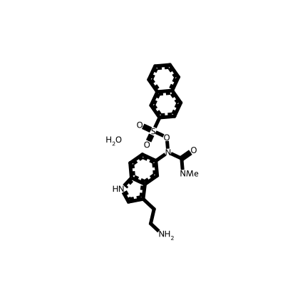 CNC(=O)N(OS(=O)(=O)c1ccc2ccccc2c1)c1ccc2[nH]cc(CCN)c2c1.O